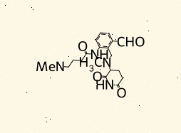 CNCCCC(=O)Nc1cccc(C=O)c1CN(C)C1CCC(=O)NC1=O